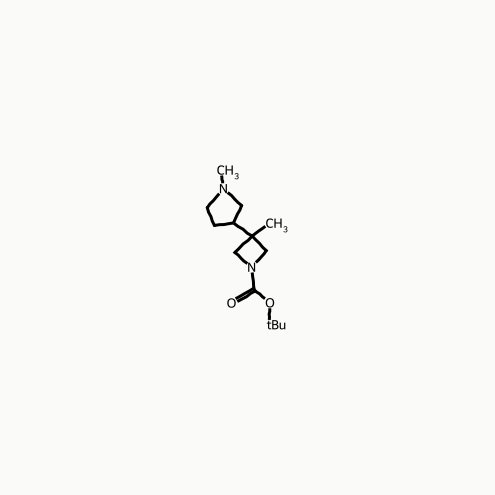 CN1CCC(C2(C)CN(C(=O)OC(C)(C)C)C2)C1